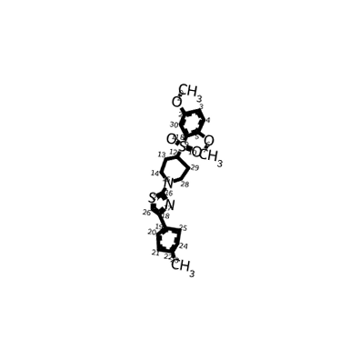 COc1ccc(OC)c(S(=O)(=O)C2CCN(c3nc(-c4ccc(C)cc4)cs3)CC2)c1